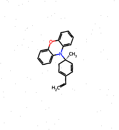 C=CC1=CC[C@@](C)(N2c3ccccc3Oc3ccccc32)C=C1